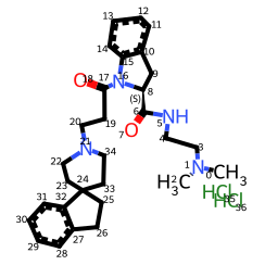 CN(C)CCNC(=O)[C@@H]1Cc2ccccc2N1C(=O)CCN1CCC2(CCc3ccccc32)CC1.Cl.Cl